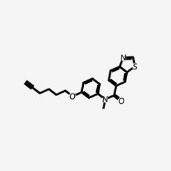 C#CCCCCOc1cccc(N(C)C(=O)c2ccc3ncsc3c2)c1